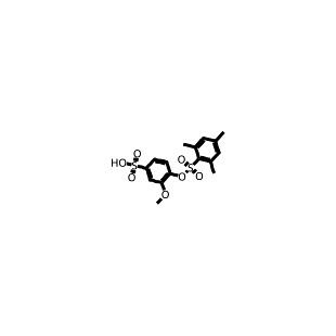 COc1cc(S(=O)(=O)O)ccc1OS(=O)(=O)c1c(C)cc(C)cc1C